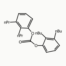 CCCCc1cccc(OC(=O)Oc2cccc(CCC)c2CCC)c1CCCC